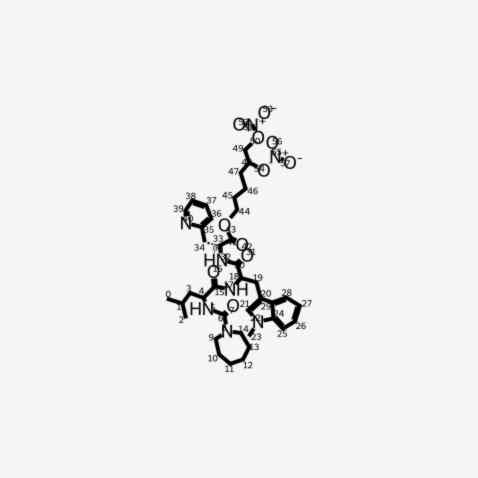 CC(C)CC(NC(=O)N1CCCCCC1)C(=O)NC(Cc1cn(C)c2ccccc12)C(=O)N[C@H](Cc1ccccn1)C(=O)OCCCCC(CO[N+](=O)[O-])O[N+](=O)[O-]